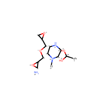 C(OCC1CO1)C1CO1.CCCC(O)O.CCN1CCNCC1.N